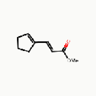 COC(=O)C=CC1=CCCC1